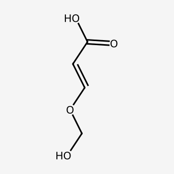 O=C(O)C=COCO